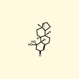 C[C@@]12CCC[C@H]1[C@@H]1CCC3=CC(=O)CC(O)(O)[C@@H]3[C@H]1CC2